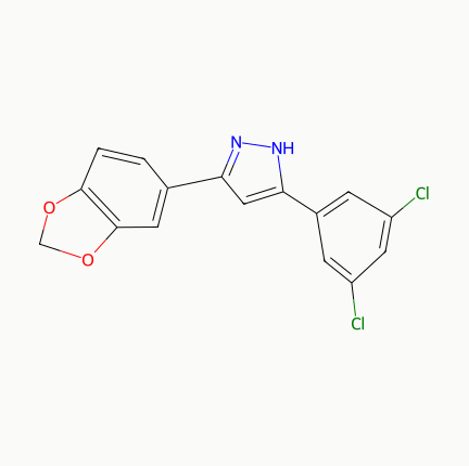 Clc1cc(Cl)cc(-c2cc(-c3ccc4c(c3)OCO4)n[nH]2)c1